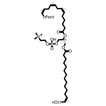 CCCCC/C=C\C/C=C\C/C=C\CCCCC(=O)O[C@H](COC(=O)CCCCCCCCCCC/C=C\CCCCCCCC)COP(=O)(O)OCC[N+](C)(C)C